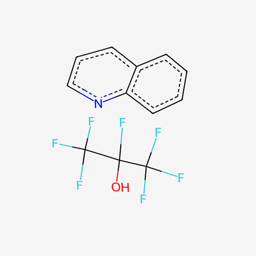 OC(F)(C(F)(F)F)C(F)(F)F.c1ccc2ncccc2c1